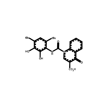 CC(C)(C)c1cc(C(C)(C)C)c(NC(=O)n2cc(C(=O)O)c(=O)c3ccccc32)c(O)c1O